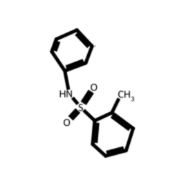 Cc1ccccc1S(=O)(=O)Nc1c[c]ccc1